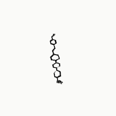 CCC[C@H]1CC[C@H]([C@H]2CC[C@H](C3CCC(CCc4ccc(CF)cc4)CC3)CC2)CC1